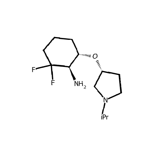 CC(C)N1CC[C@@H](O[C@H]2CCCC(F)(F)[C@@H]2N)C1